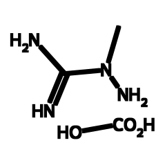 CN(N)C(=N)N.O=C(O)O